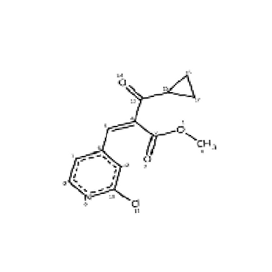 COC(=O)C(=Cc1ccnc(Cl)c1)C(=O)C1CC1